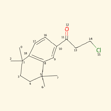 CC1(C)CCC(C)(C)c2cc(C(=O)CCCl)ccc21